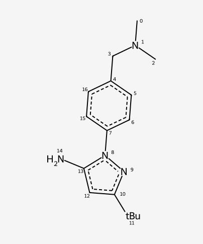 CN(C)Cc1ccc(-n2nc(C(C)(C)C)cc2N)cc1